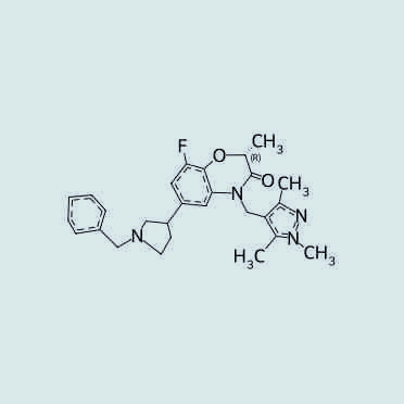 Cc1nn(C)c(C)c1CN1C(=O)[C@@H](C)Oc2c(F)cc(C3CCN(Cc4ccccc4)C3)cc21